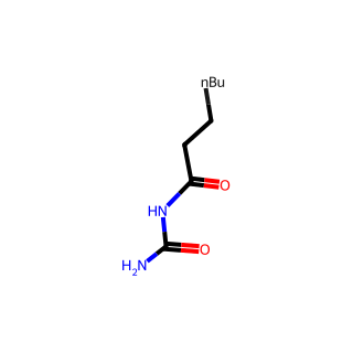 [CH2]CCCCCC(=O)NC(N)=O